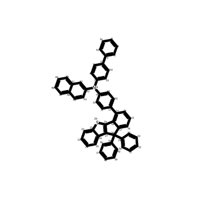 c1ccc(-c2ccc(N(c3ccc(-c4cccc5c4-c4sc6ccccc6c4C5(c4ccccc4)c4ccccc4)cc3)c3ccc4ccccc4c3)cc2)cc1